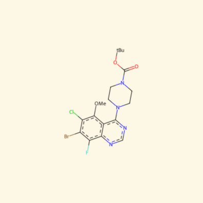 COc1c(Cl)c(Br)c(F)c2ncnc(N3CCN(C(=O)OC(C)(C)C)CC3)c12